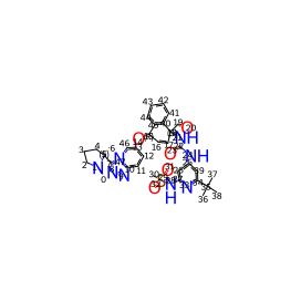 CN1CCC[C@@]1(C)c1nnc2ccc(O[C@@H]3C=C[C@](C=O)(NC(=O)Nc4cc(NS(C)(=O)=O)nc(C(C)(C)C)c4)c4ccccc43)cn12